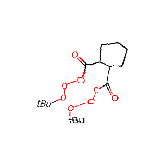 CC(C)(C)OOOC(=O)C1CCCCC1C(=O)OOOC(C)(C)C